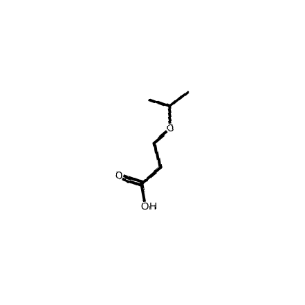 CC(C)OCCC(=O)O